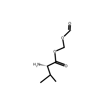 CC(C)[C@H](N)C(=O)OCO[C]=O